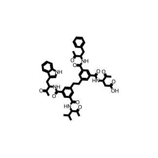 CC(=O)C(CC(=O)O)NC(=O)c1cc(CCc2cc(C(=O)NC(Cc3c[nH]c4ccccc34)C(C)=O)cc(C(=O)NC(C(C)=O)C(C)C)c2)cc(C(=O)NC(Cc2ccccc2)C(C)=O)c1